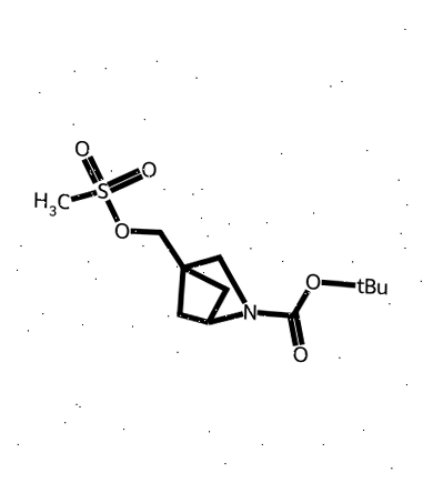 CC(C)(C)OC(=O)N1CC2(COS(C)(=O)=O)CC1C2